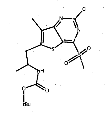 Cc1c(CC(C)NC(=O)OC(C)(C)C)sc2c(S(C)(=O)=O)nc(Cl)nc12